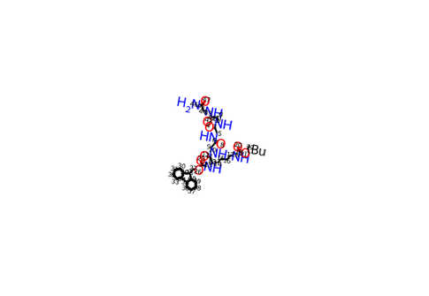 C[C@H](NC(=O)CNC(=O)CNC(=O)[C@H](CCCCNC(=O)OC(C)(C)C)NC(=O)OCC1c2ccccc2-c2ccccc21)C(=O)NCC(N)=O